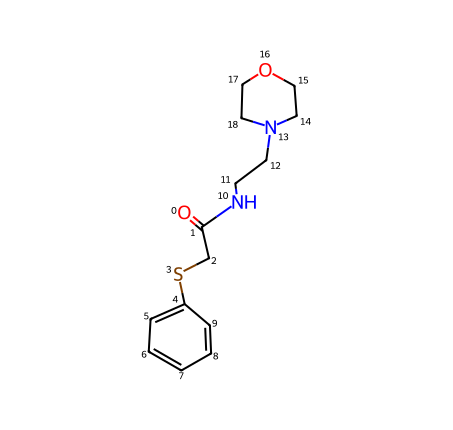 O=C(CSc1ccccc1)NCCN1CCOCC1